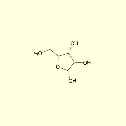 OCC1O[C@@H](O)C(O)[C@H]1O